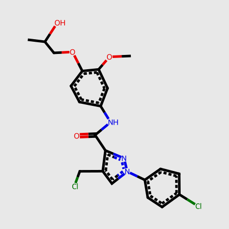 COc1cc(NC(=O)c2nn(-c3ccc(Cl)cc3)cc2CCl)ccc1OCC(C)O